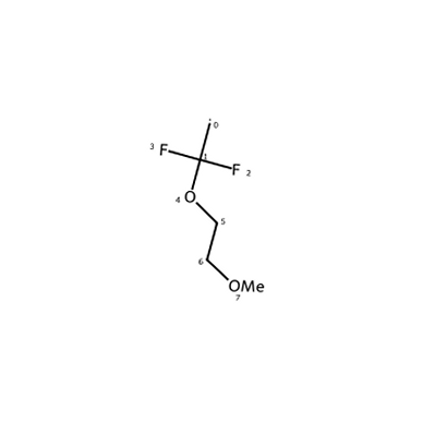 [CH2]C(F)(F)OCCOC